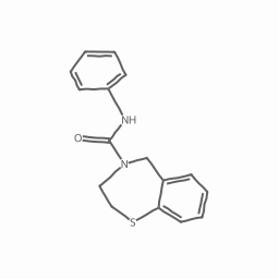 O=C(Nc1ccccc1)N1CCSc2ccccc2C1